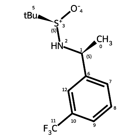 C[C@H](N[S@+]([O-])C(C)(C)C)c1cccc(C(F)(F)F)c1